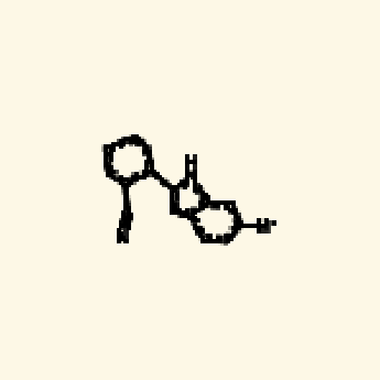 N#Cc1ccccc1-c1cc2ccc(Br)cc2[nH]1